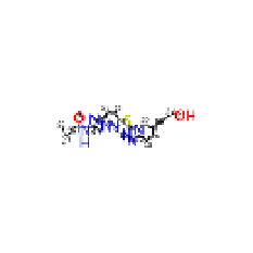 O=C(Nc1cn2nc(Sc3nnc4ccc(C#CCO)cn34)ccc2n1)C1CC1